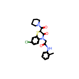 Cc1ccccc1NC(=O)CN1C(=O)C(C(=O)N2CCCCC2)Sc2cc(Cl)ccc21